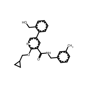 Cc1cccc(CNC(=O)c2cc(-c3ccccc3CO)cnc2OCC2CC2)c1